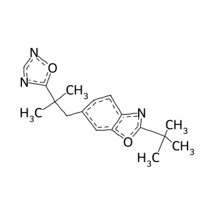 CC(C)(C)c1nc2ccc(CC(C)(C)c3ncno3)cc2o1